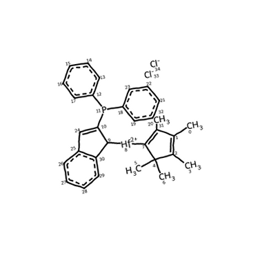 CC1=C(C)C(C)(C)[C]([Hf+2][CH]2C(P(c3ccccc3)c3ccccc3)=Cc3ccccc32)=C1C.[Cl-].[Cl-]